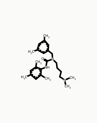 Cc1cc(C)cc(CN(CCCCN(C)C)C(=O)Nc2c(C)cc(C)cc2C)c1